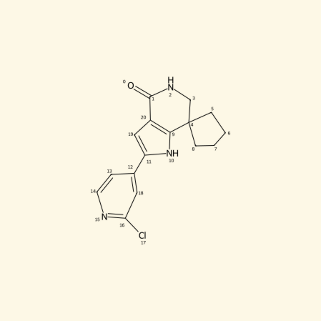 O=C1NCC2(CCCC2)c2[nH]c(-c3ccnc(Cl)c3)cc21